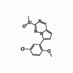 COc1ccc(Cl)cc1-c1ccc2cnc([S+](C)[O-])nn12